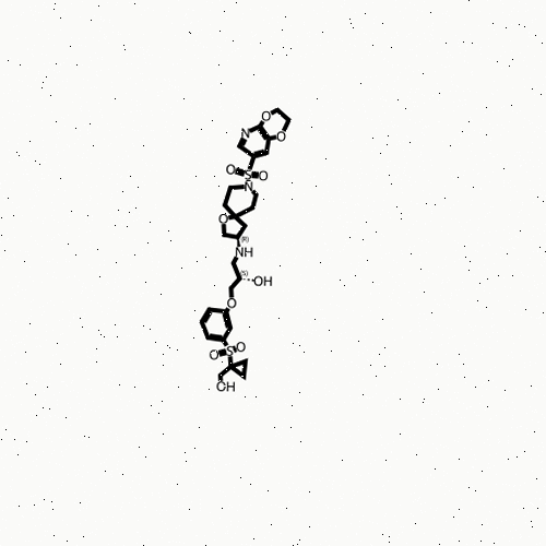 O=S(=O)(c1cnc2c(c1)OCCO2)N1CCC2(CC1)C[C@@H](NC[C@H](O)COc1cccc(S(=O)(=O)C3(CO)CC3)c1)CO2